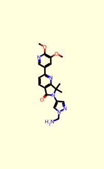 COc1cc(-c2ccc3c(n2)C(C)(C)N(c2cnn(CN)c2)C3=O)cnc1OC